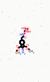 CCOC(=O)c1c2ccc(CC(=O)NOCP(=O)(O)O)ccc-2c(C(=O)OCC)c1N